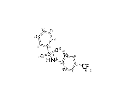 O=S(=O)(Nc1ncc(C(F)(F)F)cn1)c1ccccc1